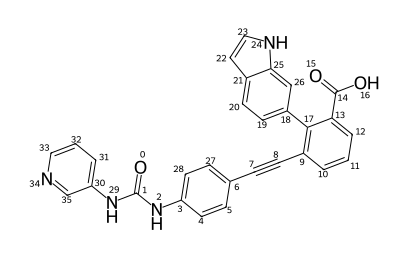 O=C(Nc1ccc(C#Cc2cccc(C(=O)O)c2-c2ccc3cc[nH]c3c2)cc1)Nc1cccnc1